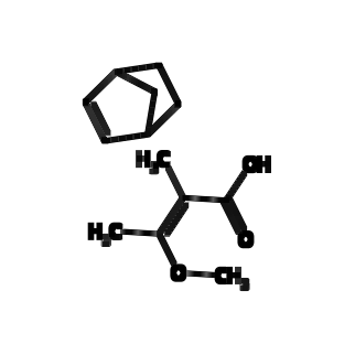 C1=CC2CCC1C2.COC(C)=C(C)C(=O)O